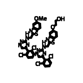 COc1ccc2sc(CNc3nncc(-c4c(Cl)cccc4Cl)n3)nc2c1.OCCOc1ccc2sc(CNc3nncc(-c4c(Cl)cccc4Cl)n3)nc2c1